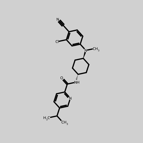 CC(C)c1ccc(C(=O)N[C@H]2CC[C@H](N(C)c3ccc(C#N)c(Cl)c3)CC2)nc1